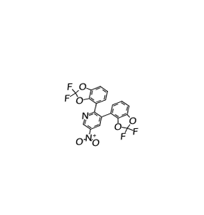 O=[N+]([O-])c1cnc(-c2cccc3c2OC(F)(F)O3)c(-c2cccc3c2OC(F)(F)O3)c1